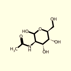 CC(=O)N[C@H]1C(O)O[C@@H](CO)[C@H](O)[C@@H]1O